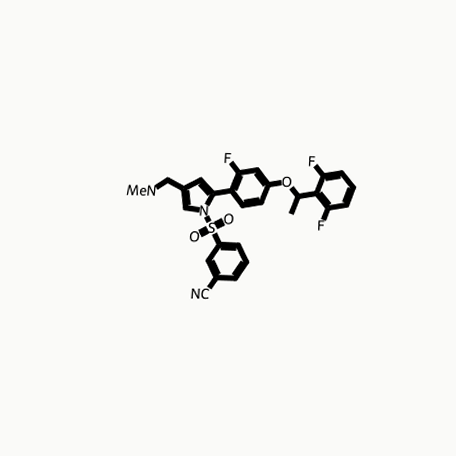 CNCc1cc(-c2ccc(OC(C)c3c(F)cccc3F)cc2F)n(S(=O)(=O)c2cccc(C#N)c2)c1